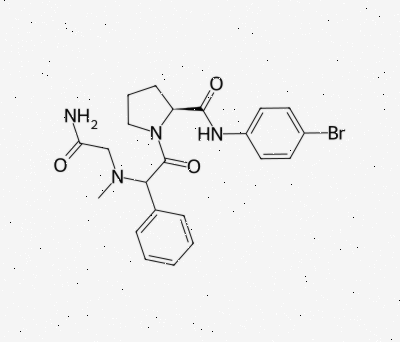 CN(CC(N)=O)C(C(=O)N1CCC[C@H]1C(=O)Nc1ccc(Br)cc1)c1ccccc1